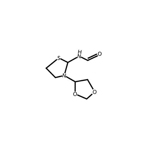 O=CNC1SCCN1C1COCO1